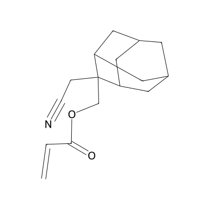 C=CC(=O)OCC1(CC#N)C2CC3CC(C2)CC1C3